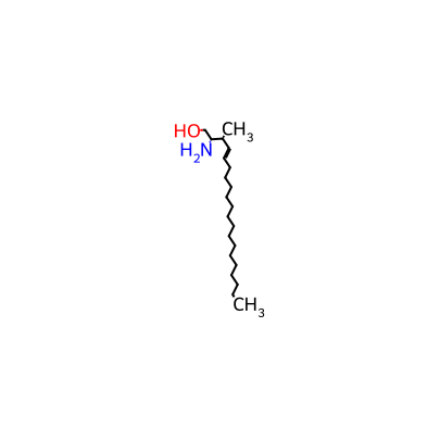 CCCCCCCCCCCCCCC/C=C/[C@H](C)[C@H](N)CO